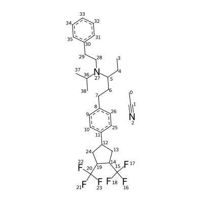 CC#N.CCC(CCc1ccc(C2CC(C(F)(F)F)C(C(F)(F)F)C2)cc1)N(CCc1ccccc1)C(C)C